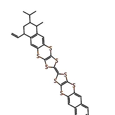 C=CC1CC(C(C)C)C(C)c2cc3c(cc21)SC1=C(SC(=C2SC4=C(S2)Sc2cc5ccccc5cc2S4)S1)S3